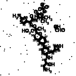 CC1(C)[C@H](NC(=O)/C(=N\O[C@](C)(C(=O)O)[C@H]2CCc3cc(-c4cnc(NC[C@@H](O)CN)[n+](CC5CNC5)c4)ccc3O2)c2csc(N)n2)C(=O)N1OS(=O)(=O)[O-].O=CO